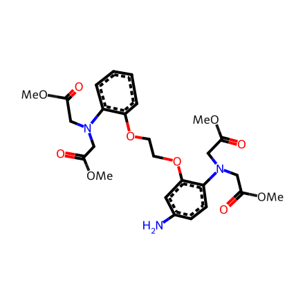 COC(=O)CN(CC(=O)OC)c1ccccc1OCCOc1cc(N)ccc1N(CC(=O)OC)CC(=O)OC